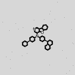 c1ccc(-c2ccc(N(c3ccc(-c4cccc5ccccc45)cc3)c3cncc4c3oc3ccccc34)cc2)cc1